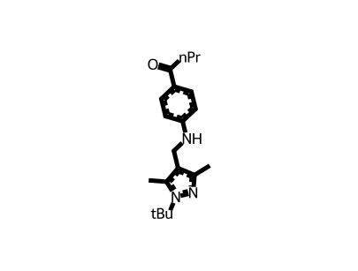 CCCC(=O)c1ccc(NCc2c(C)nn(C(C)(C)C)c2C)cc1